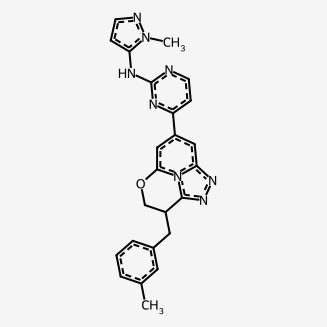 Cc1cccc(CC2COc3cc(-c4ccnc(Nc5ccnn5C)n4)cc4nnc2n34)c1